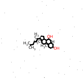 CC(C)CCC[C@@H](C)[C@H]1CCC2C3C(CC[C@@]21C)[C@@]1(C)CC[C@H](O)C[C@@H]1C[C@@H]3O